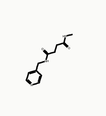 CNC(=O)CCC(=O)NCc1ccncc1